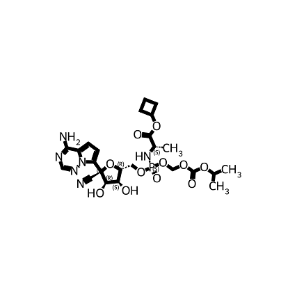 CC(C)OC(=O)OCO[P@](=O)(N[C@@H](C)C(=O)OC1CCC1)OC[C@H]1O[C@@](C#N)(c2ccc3c(N)ncnn23)[C@H](O)[C@@H]1O